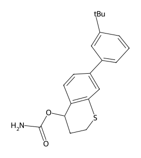 CC(C)(C)c1cccc(-c2ccc3c(c2)SCCC3OC(N)=O)c1